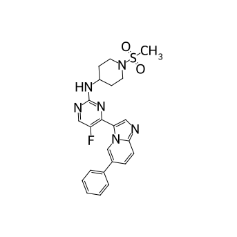 CS(=O)(=O)N1CCC(Nc2ncc(F)c(-c3cnc4ccc(-c5ccccc5)cn34)n2)CC1